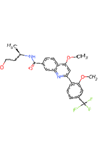 COc1cc(C(F)(F)F)ccc1-c1cc(OC)c2ccc(C(=O)N[C@H](C)CCO)cc2n1